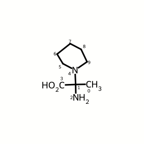 CC(N)(C(=O)O)N1CCCCC1